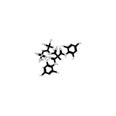 CC(C(=O)Oc1c(I)cc(I)cc1I)(C(=O)Oc1c(I)cc(I)cc1I)C(=O)OC(CS(=O)(=O)O)C(F)(F)F